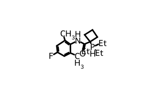 CC[PH](CC)(CC)C1(C(=O)Nc2c(C)cc(F)cc2C)CCC1